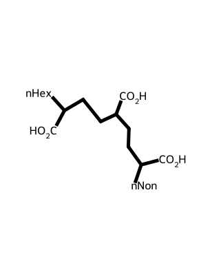 CCCCCCCCCC(CCC(CCC(CCCCCC)C(=O)O)C(=O)O)C(=O)O